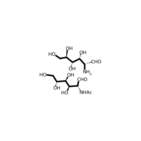 CC(=O)N[C@@H](C=O)[C@@H](O)[C@H](O)[C@H](O)CO.N[C@@H](C=O)[C@@H](O)[C@H](O)[C@H](O)CO